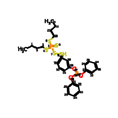 CCCCSP(=S)(SS)SCCCC.c1ccc(OP(Oc2ccccc2)Oc2ccccc2)cc1